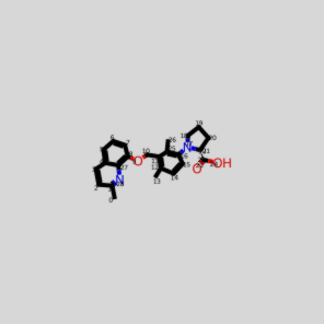 Cc1ccc2cccc(OCc3c(C)ccc(N4CCC[C@@H]4C(=O)O)c3C)c2n1